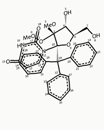 COO[C@]1(OC)[C@H](O)[C@@H](CO)O[C@]1(n1ccc(=O)[nH]c1=O)C(c1ccccc1)(c1ccccc1)c1ccccc1